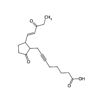 CCC(=O)C=CC1CCC(=O)C1CC#CCCCCC(=O)O